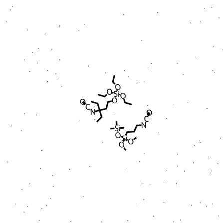 CCO[Si](OCC)(OCC)OCCC(CC)(CC)N=C=O.CO[Si](CCCN=C=O)(OC)O[Si](C)(C)C